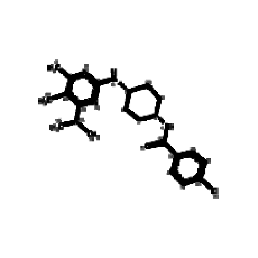 Cc1nc(N[C@H]2CC[C@@H](NC(=O)c3ccc(Cl)cc3)CC2)nc(N(C)C)c1C